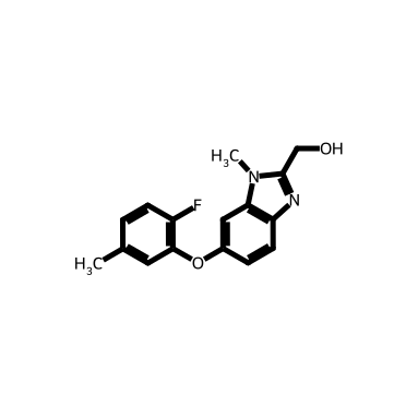 Cc1ccc(F)c(Oc2ccc3nc(CO)n(C)c3c2)c1